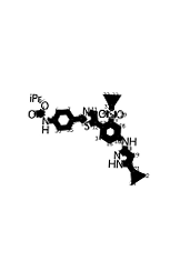 CC(C)OC(=O)NC1CCC(c2ncc(-c3ccc(Nc4cc(C5CC5)[nH]n4)cc3S(=O)(=O)C3CC3)s2)CC1